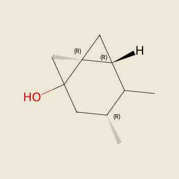 CC1[C@H](C)CC2(O)C[C@@]23C[C@H]13